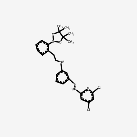 CC1(C)OB(c2ccccc2CCNc2cccc(SNc3nc(Cl)cc(Cl)n3)c2)OC1(C)C